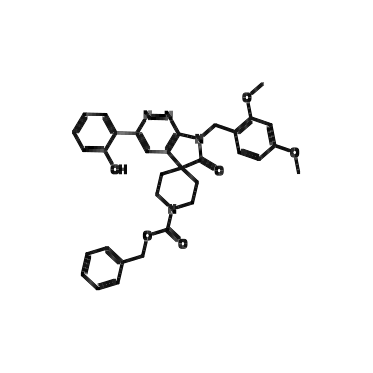 COc1ccc(CN2C(=O)C3(CCN(C(=O)OCc4ccccc4)CC3)c3cc(-c4ccccc4O)nnc32)c(OC)c1